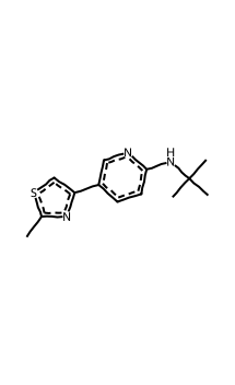 Cc1nc(-c2ccc(NC(C)(C)C)nc2)cs1